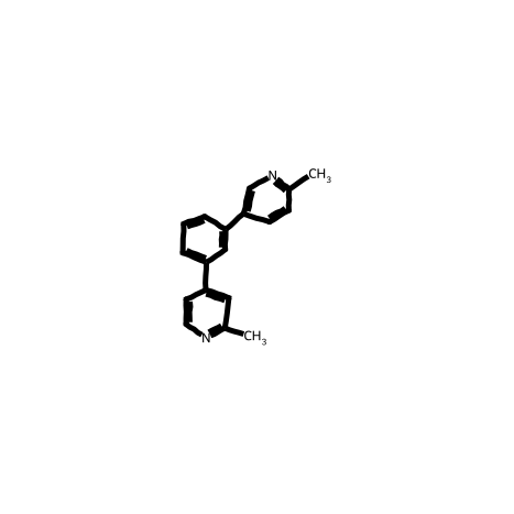 Cc1ccc(-c2cccc(-c3ccnc(C)c3)c2)cn1